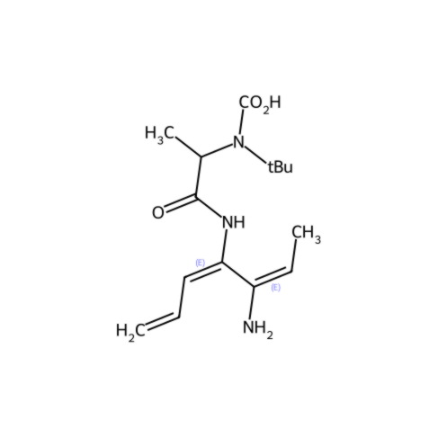 C=C/C=C(NC(=O)C(C)N(C(=O)O)C(C)(C)C)\C(N)=C/C